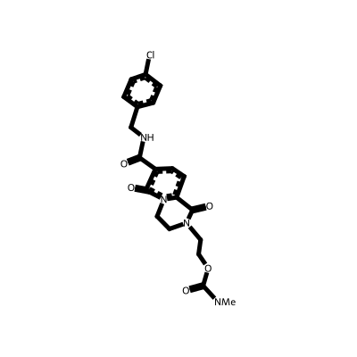 CNC(=O)OCCN1CCn2c(ccc(C(=O)NCc3ccc(Cl)cc3)c2=O)C1=O